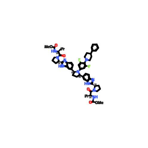 COC(=O)N[C@H](C(=O)N1CCC[C@H]1c1nc2ccc([C@H]3CC[C@@H](c4ccc5nc([C@@H]6CCCN6C(=O)[C@@H](NC(=O)OC)C(C)C)[nH]c5c4)N3c3cc(F)c(N4CCC(c5ccccc5)CC4)c(F)c3)cc2[nH]1)C(C)C